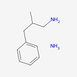 CC(CN)Cc1ccccc1.N